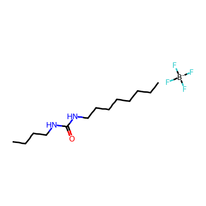 CCCCCCCCNC(=O)NCCCC.F[B-](F)(F)F